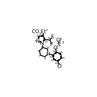 CCOC(=O)c1cnn(C2CCCN(c3cc(Cl)ccc3OSC(F)(F)F)C2)c1C(F)F